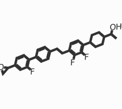 CC(O)C1CCC(c2ccc(CCc3ccc(-c4ccc(C5CO5)cc4F)cc3)c(F)c2F)CC1